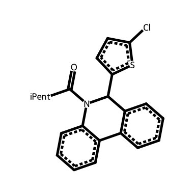 CCCC(C)C(=O)N1c2ccccc2-c2ccccc2C1c1ccc(Cl)s1